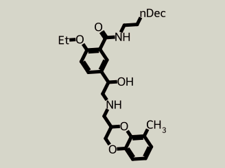 CCCCCCCCCCCCNC(=O)c1cc(C(O)CNCC2COc3cccc(C)c3O2)ccc1OCC